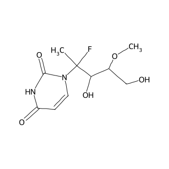 COC(CO)C(O)C(C)(F)n1ccc(=O)[nH]c1=O